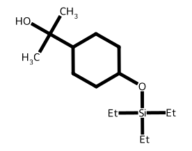 CC[Si](CC)(CC)OC1CCC(C(C)(C)O)CC1